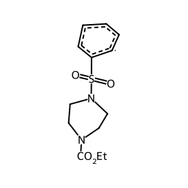 CCOC(=O)N1CCN(S(=O)(=O)c2[c]cccc2)CC1